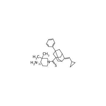 CC1(C)CN(C(=S)C23CC4CC(c5ccccc5)(CC(C2)C4=CC2CC2)C3)CC[C@@H]1N